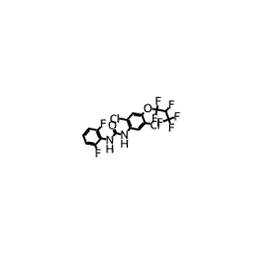 O=C(Nc1cc(Cl)c(OC(F)(F)C(F)C(F)(F)F)cc1Cl)Nc1c(F)cccc1F